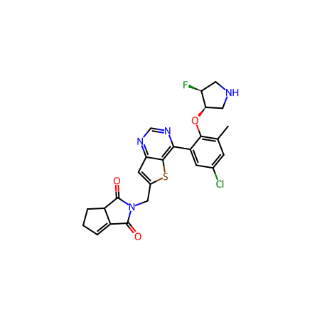 Cc1cc(Cl)cc(-c2ncnc3cc(CN4C(=O)C5=CCCC5C4=O)sc23)c1O[C@@H]1CNC[C@@H]1F